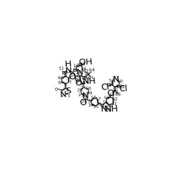 Cc1ncsc1-c1ccc([C@H](C)NC(=O)[C@@H]2C[C@@H](O)CN2C(=O)[C@@H](NC(=O)C2CCN(C(=O)c3ccc(-c4n[nH]c5ccc(O[C@H](C)c6c(Cl)cncc6Cl)cc45)cc3)CC2)C(C)(C)C)cc1